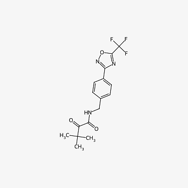 CC(C)(C)C(=O)C(=O)NCc1ccc(-c2noc(C(F)(F)F)n2)cc1